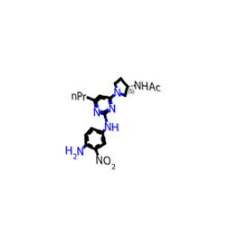 CCCc1cc(N2CC[C@H](NC(C)=O)C2)nc(Nc2ccc(N)c([N+](=O)[O-])c2)n1